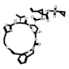 C=CC1C[C@]1(NC(=O)[C@@H]1C[C@@H]2CN1C(=O)[C@H](C(C)C)Nc1nc(cs1)CCC/C=C/c1cccc3c1CN(C3)C(=O)O2)C(=O)NS(=O)(=O)C1CC1